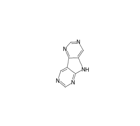 c1ncc2c(n1)[nH]c1cncnc12